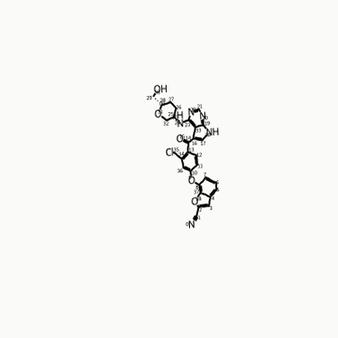 N#Cc1cc2cccc(Oc3ccc(C(=O)c4c[nH]c5ncnc(N[C@@H]6CC[C@@H](CO)OC6)c45)c(Cl)c3)c2o1